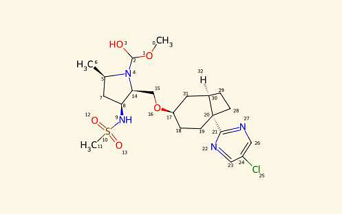 COC(O)N1[C@H](C)C[C@H](NS(C)(=O)=O)[C@@H]1CO[C@@H]1CC[C@]2(c3ncc(Cl)cn3)CC[C@@H]2C1